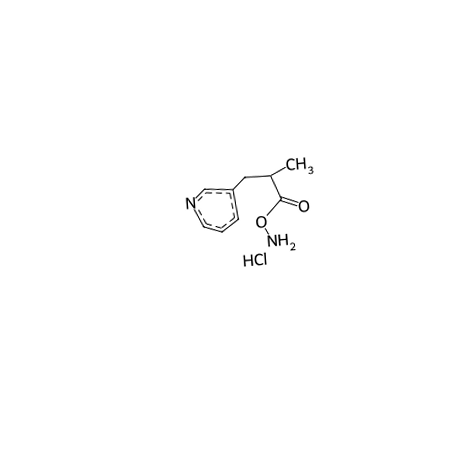 CC(Cc1cccnc1)C(=O)ON.Cl